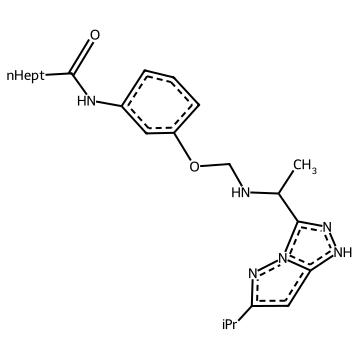 CCCCCCCC(=O)Nc1cccc(OCNC(C)c2n[nH]c3cc(C(C)C)nn23)c1